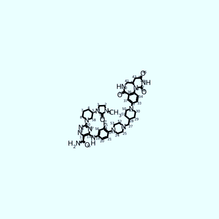 CN1CCN([C@@H]2CCCN(c3nnc(C(N)=O)c(Nc4ccc(N5CCN(CC6CCN(c7ccc8c(c7)C(=O)NCC7CC(=O)NC(=O)N87)CC6)CC5)c(F)c4)n3)C2)C1=O